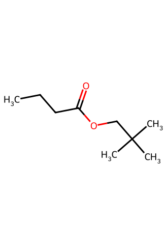 CCCC(=O)OCC(C)(C)C